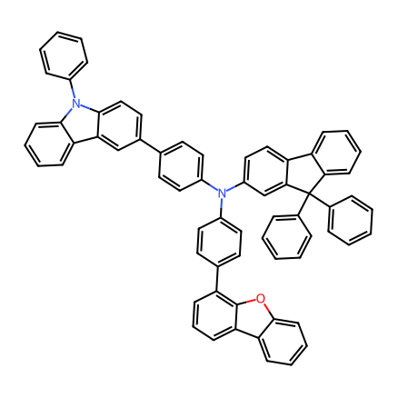 c1ccc(-n2c3ccccc3c3cc(-c4ccc(N(c5ccc(-c6cccc7c6oc6ccccc67)cc5)c5ccc6c(c5)C(c5ccccc5)(c5ccccc5)c5ccccc5-6)cc4)ccc32)cc1